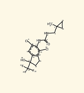 CC1(CNC(=O)Nc2c(Cl)cc3c(c2Cl)CCC3(O)C(F)(F)F)CC1